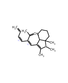 C=C/C=C\C(=C\C1=C(C)N(C)C2(C)CCCCC12)C(=C)C